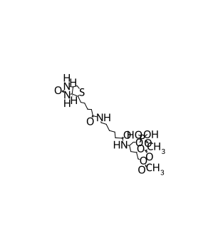 CC(=O)OCC(CC(COP(=O)(O)O)NC(=O)CCCCCNC(=O)CCCCC1SC[C@@H]2NC(=O)N[C@H]12)OC(C)=O